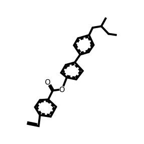 C=Cc1ccc(C(=O)Oc2ccc(-c3ccc(CC(C)CC)cc3)cc2)cc1